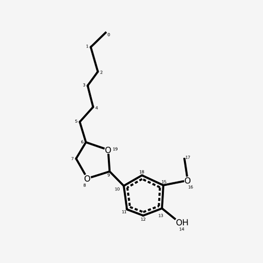 CCCCCCC1COC(c2ccc(O)c(OC)c2)O1